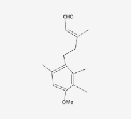 COc1cc(C)c(CCC(C)=CC=O)c(C)c1C